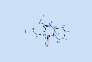 O=c1c(CCI)c(CI)nc2n1CCCC2